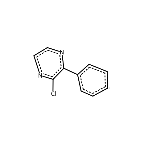 Clc1nccnc1-c1cc[c]cc1